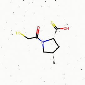 C[C@H]1C[C@@H](C(O)=S)N(C(=O)CS)C1